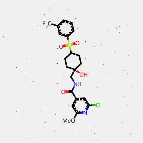 COc1cc(C(=O)NCC2(O)CCC(S(=O)(=O)c3cccc(C(F)(F)F)c3)CC2)cc(Cl)n1